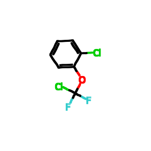 FC(F)(Cl)Oc1ccccc1Cl